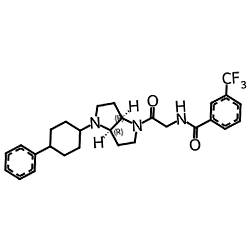 O=C(NCC(=O)N1CC[C@@H]2[C@H]1CCN2C1CCC(c2ccccc2)CC1)c1cccc(C(F)(F)F)c1